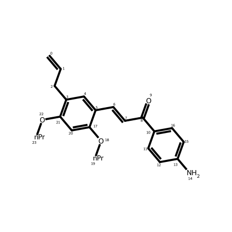 C=CCc1cc(C=CC(=O)c2ccc(N)cc2)c(OCCC)cc1OCCC